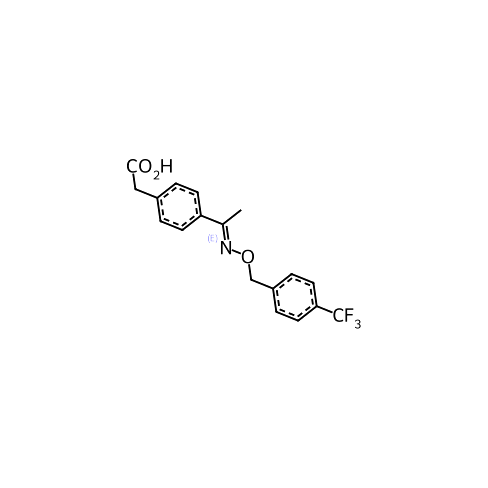 C/C(=N\OCc1ccc(C(F)(F)F)cc1)c1ccc(CC(=O)O)cc1